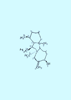 C=C1C[C@]2(C)C(CC[C@H]1O)C1(C)CCC[C@H](C)C1[C@@H]2C